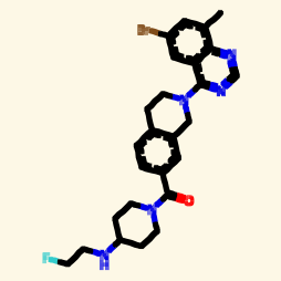 Cc1cc(Br)cc2c(N3CCc4ccc(C(=O)N5CCC(NCCF)CC5)cc4C3)ncnc12